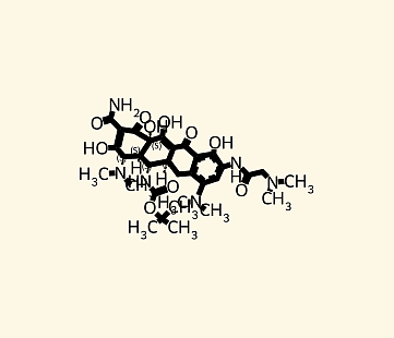 CN(C)CC(=O)Nc1cc(N(C)C)c2c(c1O)C(=O)C1=C(O)[C@]3(O)C(=O)C(C(N)=O)=C(O)[C@@H](N(C)C)[C@@H]3[C@@H](NC(=O)OC(C)(C)C)[C@@H]1C2